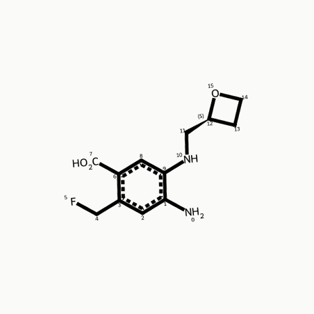 Nc1cc(CF)c(C(=O)O)cc1NC[C@@H]1CCO1